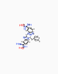 CC(C)CCn1c(Cn2nnc3ccc(C(=N)NO)cc32)nc2cc(C(=N)NO)ccc21